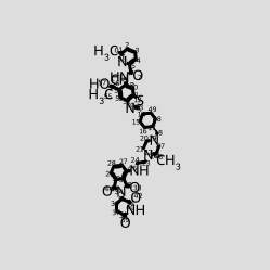 Cc1cccc(C(=O)Nc2cc3sc([C@H]4CC[C@H](CN5CCN(CCNc6cccc7c6C(=O)N(C6CCC(=O)NC6=O)C7=O)[C@H](C)C5)CC4)nc3cc2C(C)(C)O)n1